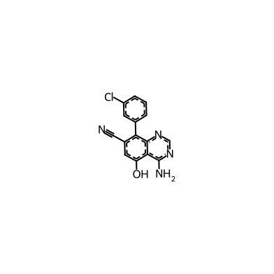 N#Cc1cc(O)c2c(N)ncnc2c1-c1cccc(Cl)c1